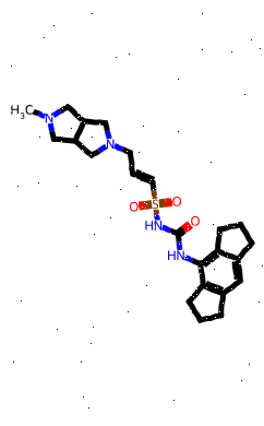 CN1CC2CN(C/C=C/S(=O)(=O)NC(=O)Nc3c4c(cc5c3CCC5)CCC4)CC2C1